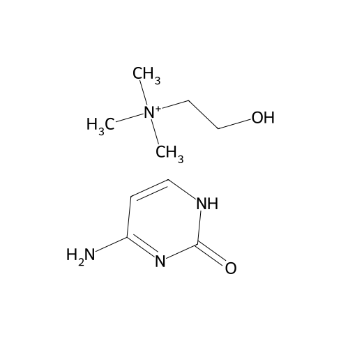 C[N+](C)(C)CCO.Nc1cc[nH]c(=O)n1